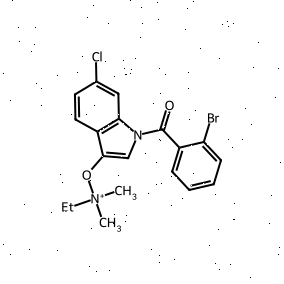 CC[N+](C)(C)Oc1cn(C(=O)c2ccccc2Br)c2cc(Cl)ccc12